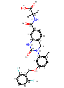 Cc1ccc(OCc2c(F)cccc2F)cc1N1Cc2ccc(C(=O)NC(C)(C)C(=O)O)cc2NC1=O